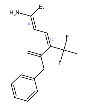 C=C(Cc1ccccc1)/C(=C\C=C(\N)CC)C(C)(F)F